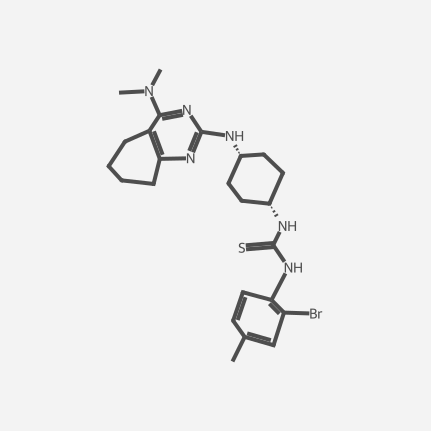 Cc1ccc(NC(=S)N[C@H]2CC[C@@H](Nc3nc4c(c(N(C)C)n3)CCCC4)CC2)c(Br)c1